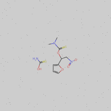 CN(C)C(=S)OC(C[N+](=O)[O-])c1ccco1.NC(O)=S